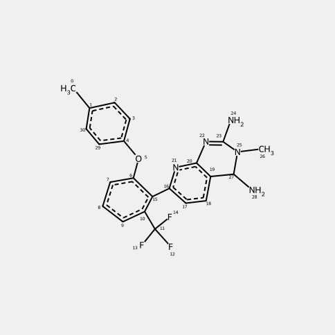 Cc1ccc(Oc2cccc(C(F)(F)F)c2-c2ccc3c(n2)N=C(N)N(C)C3N)cc1